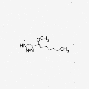 CCCCCC=C(OC)c1c[nH]nn1